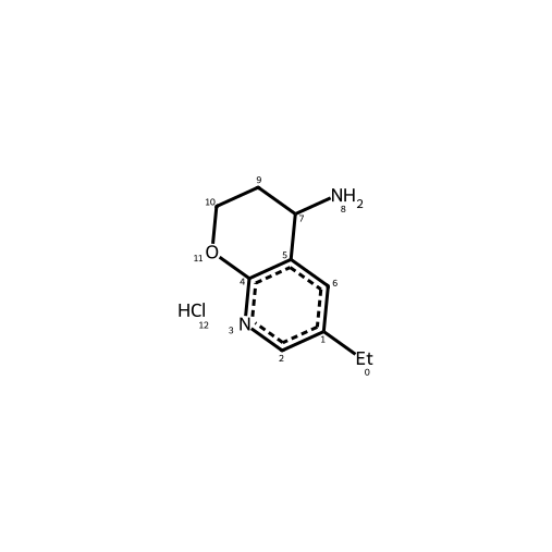 CCc1cnc2c(c1)C(N)CCO2.Cl